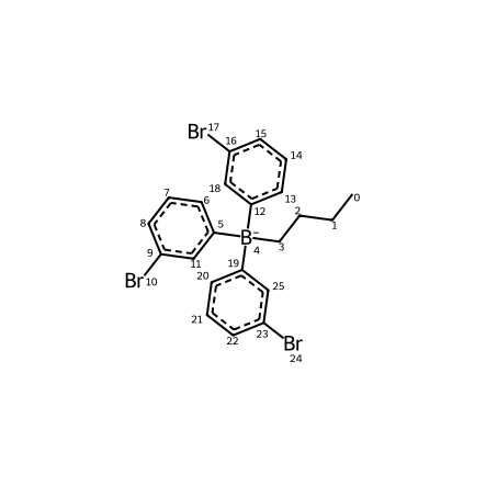 CCCC[B-](c1cccc(Br)c1)(c1cccc(Br)c1)c1cccc(Br)c1